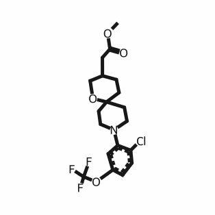 COC(=O)CC1CCC2(CCN(c3cc(OC(F)(F)F)ccc3Cl)CC2)OC1